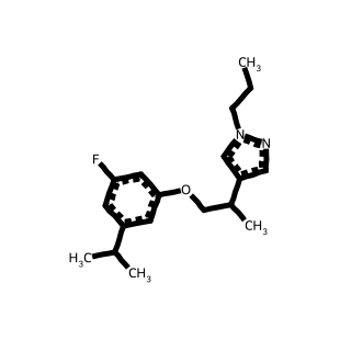 CCCn1cc(C(C)COc2cc(F)cc(C(C)C)c2)cn1